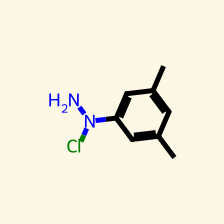 Cc1cc(C)cc(N(N)Cl)c1